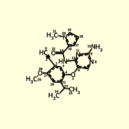 C#Cc1cc(Oc2cnc(N)nc2NC(=O)c2cccn2C)c(C(C)C)cc1OC